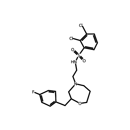 O=S(=O)(NCCN1CCCOC(Cc2ccc(F)cc2)C1)c1cccc(Cl)c1Cl